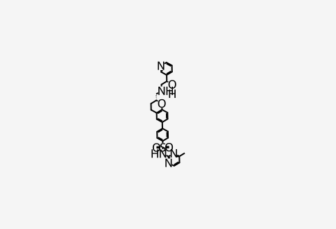 Cc1ccnc(NS(=O)(=O)c2ccc(-c3ccc4c(c3)CC[C@H](CNC[C@H](O)c3cccnc3)O4)cc2)n1